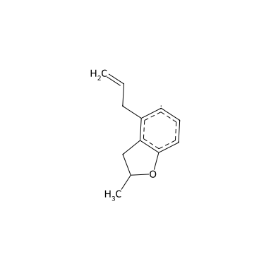 C=CCc1[c]ccc2c1CC(C)O2